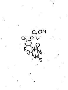 Cn1c(=S)n(C)c(=O)n(-c2cc(OC3(C(=O)O)CC3)c(Cl)cc2F)c1=O